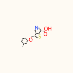 Cc1cccc(OCc2csc3c(C(=O)O)cncc23)c1